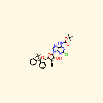 C#C[C@@H]1[C@@H](O)[C@H](n2cnc3c(NC(=O)OC(C)(C)C)nc(Cl)nc32)O[C@@H]1CO[Si](c1ccccc1)(c1ccccc1)C(C)(C)C